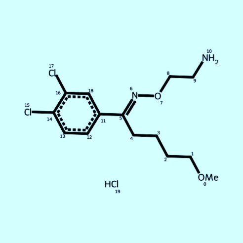 COCCCCC(=NOCCN)c1ccc(Cl)c(Cl)c1.Cl